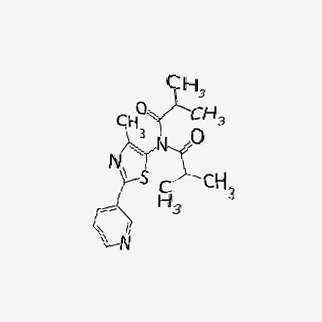 Cc1nc(-c2cccnc2)sc1N(C(=O)C(C)C)C(=O)C(C)C